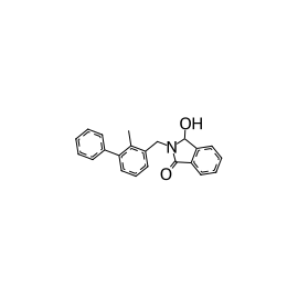 Cc1c(CN2C(=O)c3ccccc3C2O)cccc1-c1ccccc1